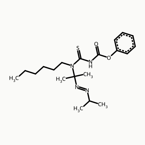 CCCCCCN(C(=S)NC(=O)Oc1ccccc1)C(C)(C)N=NC(C)C